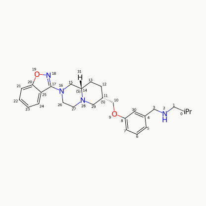 CC(C)CNCc1cccc(OC[C@H]2CC[C@H]3CN(c4noc5ccccc45)CCN3C2)c1